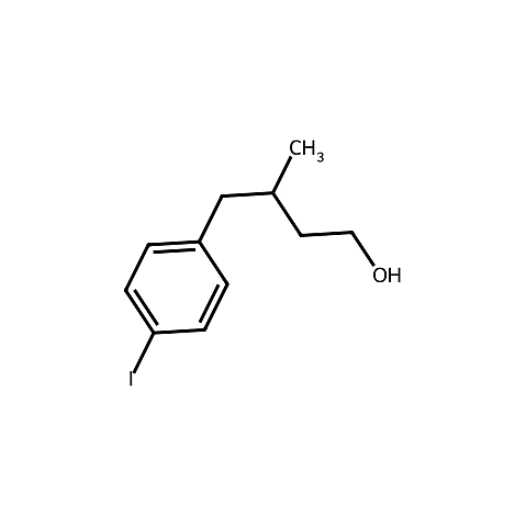 CC(CCO)Cc1ccc(I)cc1